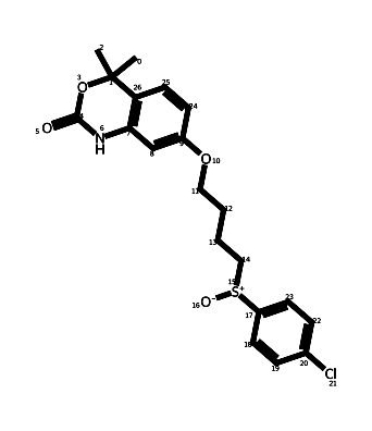 CC1(C)OC(=O)Nc2cc(OCCCC[S+]([O-])c3ccc(Cl)cc3)ccc21